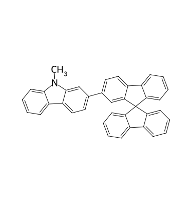 Cn1c2ccccc2c2ccc(-c3ccc4c(c3)C3(c5ccccc5-c5ccccc53)c3ccccc3-4)cc21